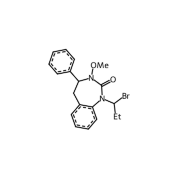 CCC(Br)N1C(=O)N(OC)C(c2ccccc2)Cc2ccccc21